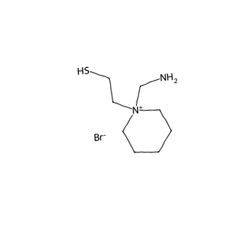 NC[N+]1(CCS)CCCCC1.[Br-]